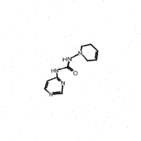 O=C(Nc1ccncn1)NN1CC=CCC1